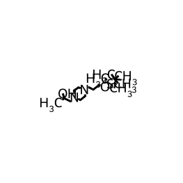 CC(O)CN1CCN(CCCO[Si](C)(C)C(C)(C)C)CC1